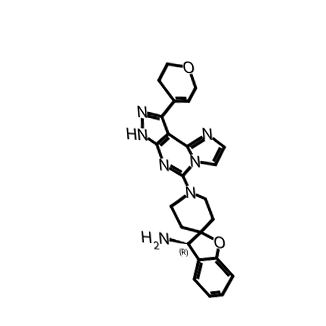 N[C@@H]1c2ccccc2OC12CCN(c1nc3[nH]nc(C4=CCOCC4)c3c3nccn13)CC2